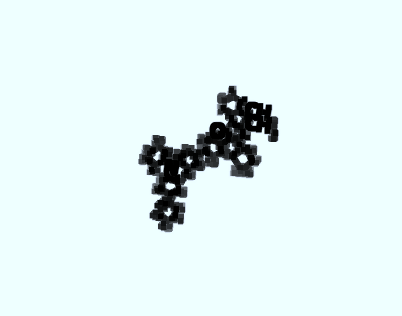 CC1(C)c2ccccc2-c2c1cc(-c1ccccc1)c1c2oc2cc(-c3ccc(N(c4ccccc4)c4ccc(-c5ccccc5)cc4)cc3)ccc21